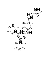 NC(=S)N/N=C/c1ccc(Nc2nc(N3CCCCC3)nc(N3CCCCC3)n2)cc1